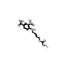 NC(=O)OCC=CCNc1ccc(C(N)=O)cc1[N+](=O)[O-]